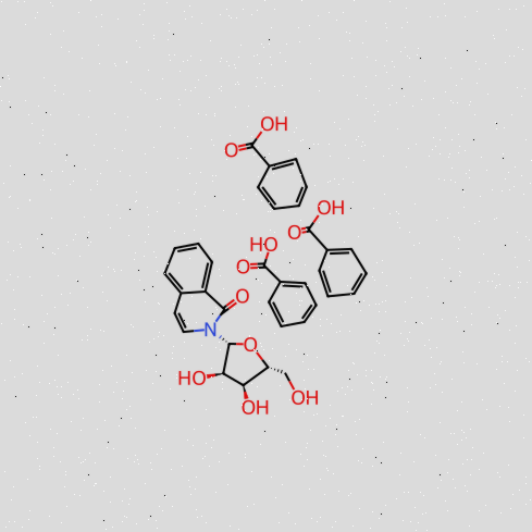 O=C(O)c1ccccc1.O=C(O)c1ccccc1.O=C(O)c1ccccc1.O=c1c2ccccc2ccn1[C@@H]1O[C@H](CO)[C@@H](O)[C@H]1O